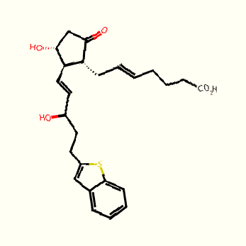 O=C(O)CCCC=CC[C@H]1C(=O)C[C@@H](O)[C@@H]1C=CC(O)CCc1cc2ccccc2s1